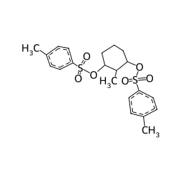 Cc1ccc(S(=O)(=O)OC2CCCC(OS(=O)(=O)c3ccc(C)cc3)C2C)cc1